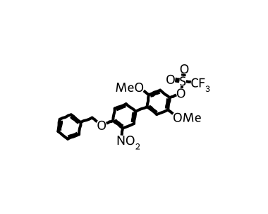 COc1cc(-c2ccc(OCc3ccccc3)c([N+](=O)[O-])c2)c(OC)cc1OS(=O)(=O)C(F)(F)F